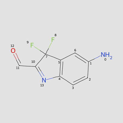 Nc1ccc2c(c1)C(F)(F)C(C=O)=N2